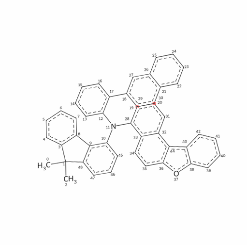 CC1(C)c2ccccc2-c2c(N(c3ccccc3-c3ccc4ccccc4c3)c3cccc4c3ccc3oc5ccccc5c34)cccc21